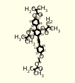 C=C(C)C(=O)OCCOc1ccc(C#Cc2cc(OC(=O)C(=C)C)c(-c3ccc(OC(=O)C(=C)C)cc3)c(F)c2OC(=O)C(=C)C)cc1